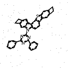 c1ccc(-c2nc(-c3ccccc3)nc(-n3c4cc5c(cc4c4c6sc7cc8c(cc7c6ccc43)CC8)CC5)n2)cc1